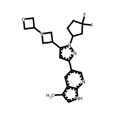 Cc1c[nH]c2ncc(-c3cc(C4CN(C5COC5)C4)n(C4CCC(F)(F)C4)n3)cc12